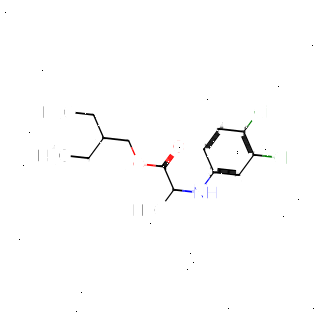 CCC(CC)COC(=O)C(C)Nc1ccc(Cl)c(Cl)c1